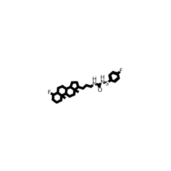 CC12CCC3C(CCC4C(F)CCCC43C)C1CCC2CCCNC(=O)NSc1ccc(F)cc1